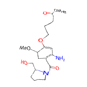 COC(=O)CCCOC1=CC(N)=C(C(=O)N2CCCC2CO)CC1OC